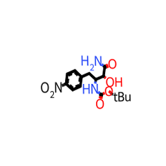 CC(C)(C)OC(=O)NC(Cc1ccc([N+](=O)[O-])cc1)C(O)C(N)=O